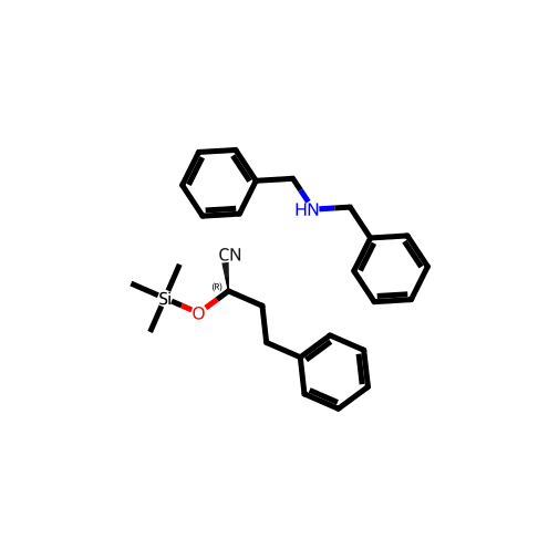 C[Si](C)(C)O[C@@H](C#N)CCc1ccccc1.c1ccc(CNCc2ccccc2)cc1